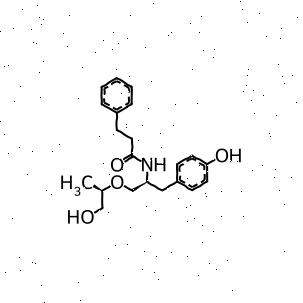 C[C@H](CO)OC[C@H](Cc1ccc(O)cc1)NC(=O)CCc1ccccc1